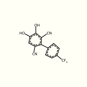 N#Cc1cc(O)c(O)c(C#N)c1-c1ccc(C(F)(F)F)cc1